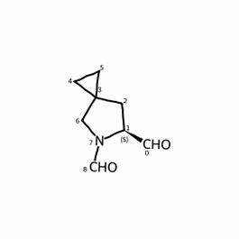 O=C[C@@H]1CC2(CC2)CN1C=O